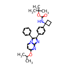 CC(C)Oc1ccn2c(-c3ccccc3)c(-c3ccc(C4(NC(=O)OC(C)(C)C)CCC4)cc3)nc2n1